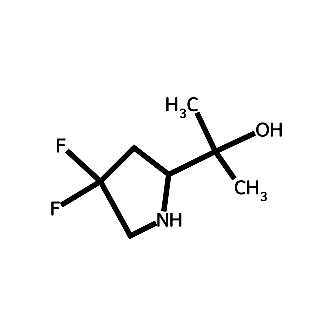 CC(C)(O)C1CC(F)(F)CN1